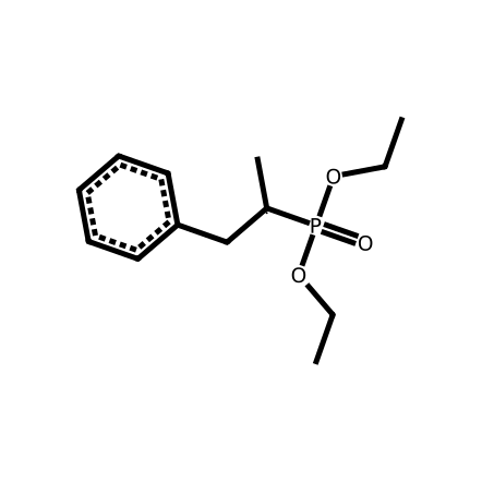 CCOP(=O)(OCC)[C](C)Cc1ccccc1